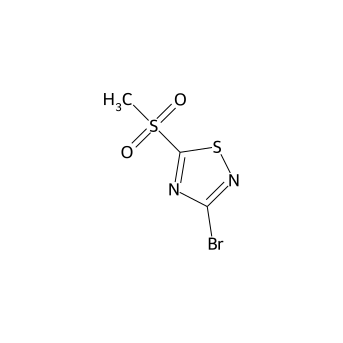 CS(=O)(=O)c1nc(Br)ns1